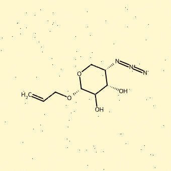 C=CCO[C@@H]1OC[C@H](N=[N+]=[N-])[C@H](O)C1O